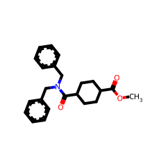 COC(=O)C1CCC(C(=O)N(Cc2ccccc2)Cc2ccccc2)CC1